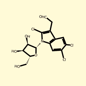 O=CCc1c(Cl)n([C@@H]2O[C@H](CO)[C@@H](O)[C@H]2O)c2cc(Cl)c(Cl)cc12